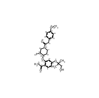 CC(C)(CO)Oc1ccc(C(N)=O)c(O[C@@H]2CCN(C(=O)Cc3ccc(OC(F)(F)F)cc3)C[C@@H]2F)c1